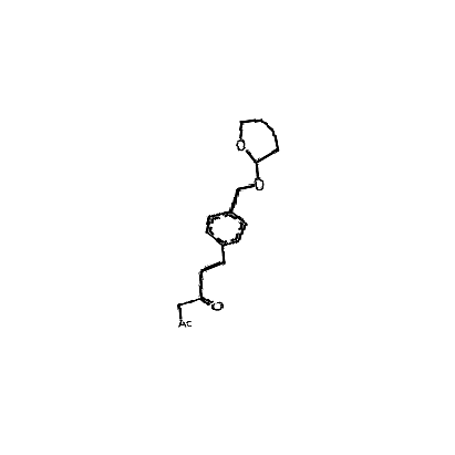 CC(=O)CC(=O)CCc1ccc(COC2CCCCO2)cc1